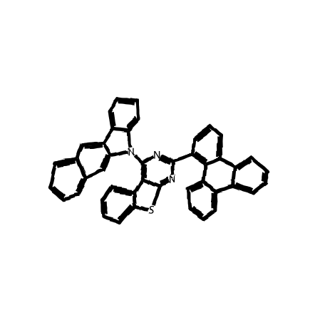 c1ccc2cc3c(cc2c1)c1ccccc1n3-c1nc(-c2cccc3c4ccccc4c4ccccc4c23)nc2sc3ccccc3c12